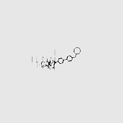 NC[C@H](NC(=O)c1ccc(-c2ccc(CC3CCCCCC3)cc2)cc1)C(=O)NO